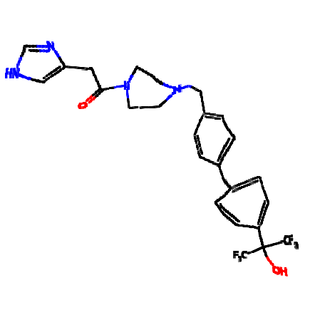 O=C(Cc1c[nH]cn1)N1CCN(Cc2ccc(-c3ccc(C(O)(C(F)(F)F)C(F)(F)F)cc3)cc2)CC1